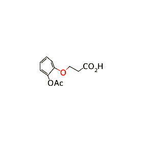 CC(=O)Oc1ccccc1OCCC(=O)O